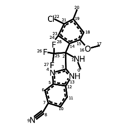 CNC(c1nc2cc(C#N)ccc2[nH]1)(c1c(OC)cc(C)c(Cl)c1C)C(F)(F)F